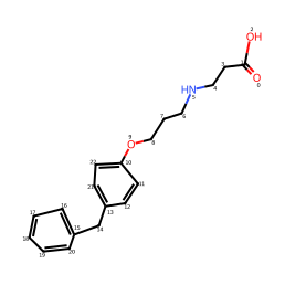 O=C(O)CCNCCCOc1ccc(Cc2ccccc2)cc1